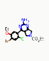 CCOC(=O)N1Cc2nc(N)nc(-c3cc(OCC)c(Br)cc3Cl)c2C1